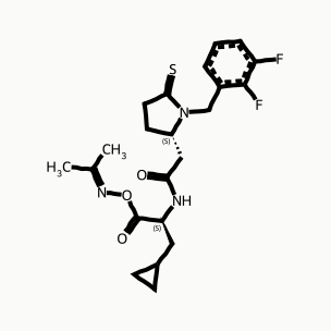 CC(C)=NOC(=O)[C@H](CC1CC1)NC(=O)C[C@@H]1CCC(=S)N1Cc1cccc(F)c1F